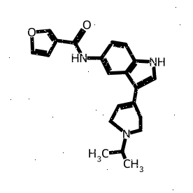 CC(C)N1CC=C(c2c[nH]c3ccc(NC(=O)c4ccoc4)cc23)CC1